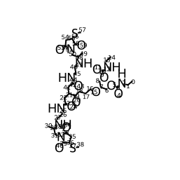 CCNC(=O)OCC(COC(=O)NCC)OCCCC(=O)C(CC(=O)NCCNC(C)CN1C(=O)CC(SC)C1=O)CC(=O)NCCNC(C)CN1C(=O)CC(SC)C1=O